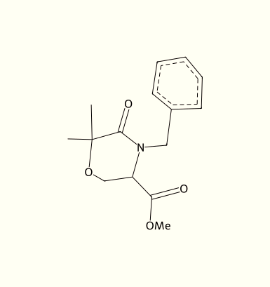 COC(=O)C1COC(C)(C)C(=O)N1Cc1ccccc1